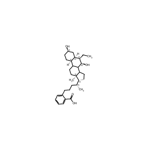 CC[C@@H]1[C@@H]2C[C@H](O)CC[C@@H]2C2CC[C@@]3(C)C(CC[C@@H]3[C@H](C)CCCc3ccccc3C(=O)O)C2[C@@H]1O